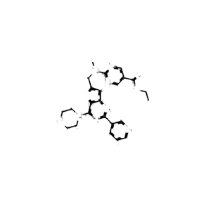 CCOC(=O)c1cnc(N(C)Cc2cc3nc(-c4cccnc4)nc(N4CCOCC4)c3s2)nc1